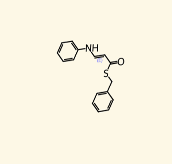 O=C(/C=C/Nc1ccccc1)SCc1ccccc1